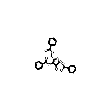 O=C(OC[C@H]1O[C@@H](OC(=O)c2ccccc2)C(=O)C1OC(=O)c1ccccc1)c1ccccc1